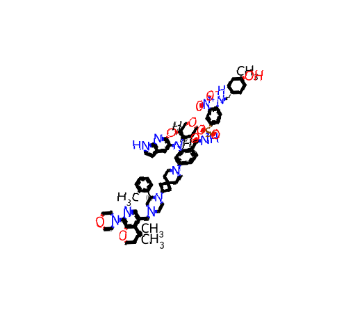 Cc1ccccc1[C@@H]1CN(Cc2cnc(N3CCOCC3)c3c2C(C)(C)CCO3)CCN1C1CC2(CCN(c3ccc(C(=O)NS(=O)(=O)c4ccc(NC[C@H]5CC[C@](C)(O)CC5)c([N+](=O)[O-])c4)c(N4c5cc6cc[nH]c6nc5O[C@H]5COCC[C@@H]54)c3)CC2)C1